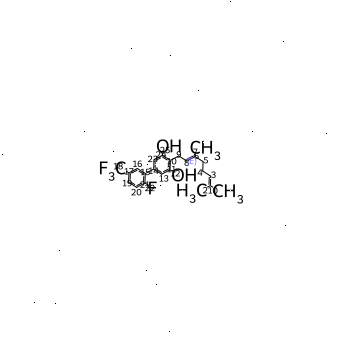 CC(C)=CCC/C(C)=C/Cc1c(O)cc(-c2cc(C(F)(F)F)ccc2F)cc1O